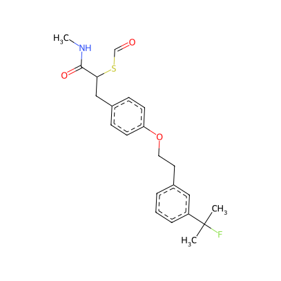 CNC(=O)C(Cc1ccc(OCCc2cccc(C(C)(C)F)c2)cc1)SC=O